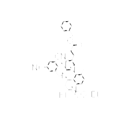 CCOC(=O)N1c2ccc(C)cc2[C@@H](N(Cc2cc(C#N)cc(C#N)c2)c2ncc(/C=C/C(=O)OCc3ccccc3)cn2)C[C@H]1CC